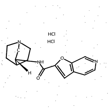 Cl.Cl.O=C(N[C@H]1CN2CCC1CC2)c1cc2ccncc2o1